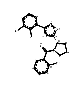 Cc1c(Cl)cccc1-c1noc([C@@H]2CCCN2C(=O)c2ccccc2F)n1